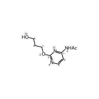 CC(=O)Nc1ccnc(OCCCO)n1